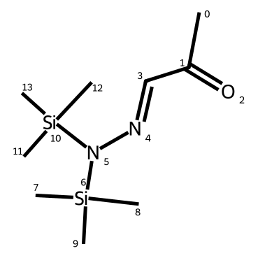 CC(=O)C=NN([Si](C)(C)C)[Si](C)(C)C